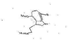 CNCCc1c[nH]c2c(F)ccc(OC)c12